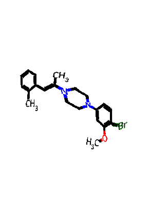 COc1cc(N2CCN(C(C)=Cc3ccccc3C)CC2)ccc1Br